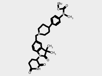 CN(C(=O)OC(C)(C)C)c1ccc(C2CCN(Cc3ccc4c(c3)C(C)(C)C(=O)N4C3CCC(=O)NC3=O)CC2)cc1